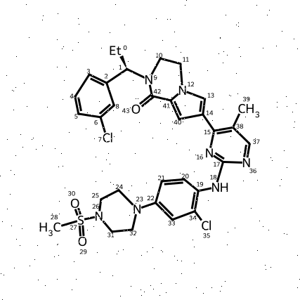 CC[C@H](c1cccc(Cl)c1)N1CCn2cc(-c3nc(Nc4ccc(N5CCN(S(C)(=O)=O)CC5)cc4Cl)ncc3C)cc2C1=O